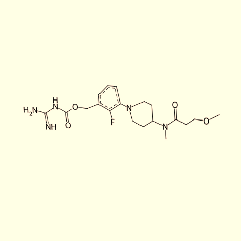 COCCC(=O)N(C)C1CCN(c2cccc(COC(=O)NC(=N)N)c2F)CC1